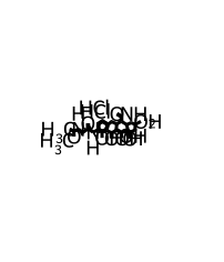 COC(C)NCC(=O)Nc1ccc2c(c1O)C(=O)C1=C(O)C3(O)C(=O)CC(O)CC3C(C(N)=O)C1C2.Cl.Cl